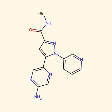 CC(C)(C)NC(=O)c1cc(-c2cnc(N)cn2)n(-c2cccnc2)n1